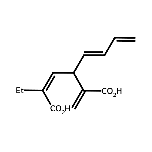 C=CC=CC(C=C(CC)C(=O)O)C(=C)C(=O)O